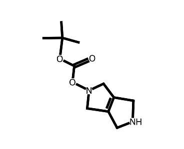 CC(C)(C)OC(=O)ON1CC2=C(CNC2)C1